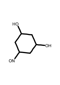 O=NC1CC(O)CC(O)C1